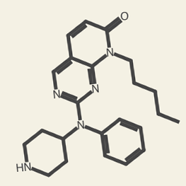 CCCCCn1c(=O)ccc2cnc(N(c3ccccc3)C3CCNCC3)nc21